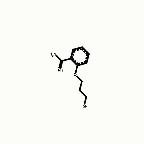 N=C(N)c1ccccc1OCCCS